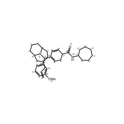 C=CCN1CCC2CCCC(C1)N2C(C1=CCC(C(=O)NC2CCCCCC2)C=C1)c1cccc(OC)c1